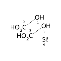 O=C(O)O.O=C(O)O.[Si]